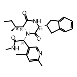 CC[C@H](C)[C@@H]1C(=O)N[C@H](C2Cc3ccccc3C2)C(=O)N1[C@@H](C(=O)NC)c1cnc(C)cc1C